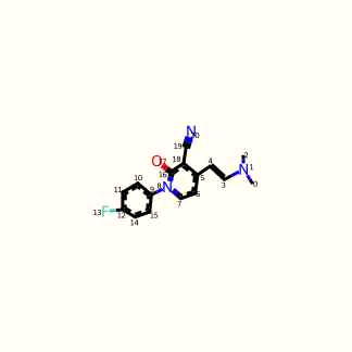 CN(C)C=Cc1ccn(-c2ccc(F)cc2)c(=O)c1C#N